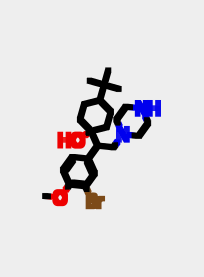 COc1ccc(C(CN2CCNCC2)C2(O)CCC(C(C)(C)C)CC2)cc1Br